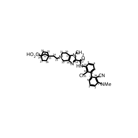 CNc1cccc(-c2cccc(NC(=O)c3nc4c(n3C)CCN(CCC35CCC(C(=O)O)(CC3)C5)C4)c2Cl)c1C#N